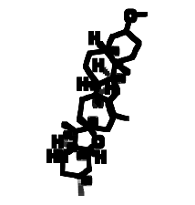 COC1CC[C@@]2(C)[C@H](CC[C@H]3[C@@H]4CC[C@@]5(CC(C)=C4C[C@@H]32)O[C@@H]2C[C@H](C)CN[C@H]2[C@H]5C)C1